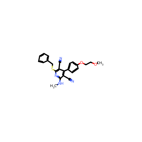 CNc1nc(SCc2ccccc2)c(C#N)c(-c2ccc(OCCOC)cc2)c1C#N